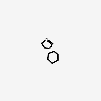 [CH]1CCCCC1.[C]1=NCCS1